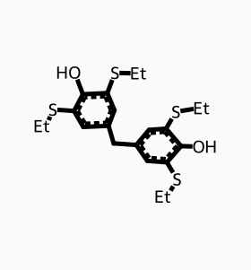 CCSc1cc(Cc2cc(SCC)c(O)c(SCC)c2)cc(SCC)c1O